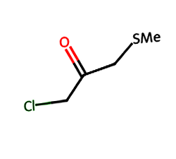 CSCC(=O)CCl